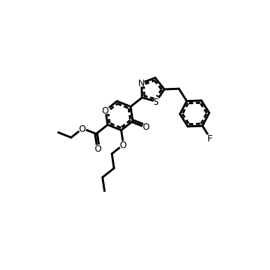 CCCCOc1c(C(=O)OCC)occ(-c2ncc(Cc3ccc(F)cc3)s2)c1=O